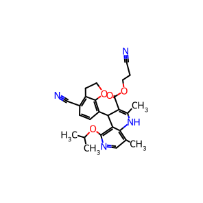 CC1=C(C(=O)OCCC#N)C(c2ccc(C#N)c3c2OCC3)c2c(OC(C)C)ncc(C)c2N1